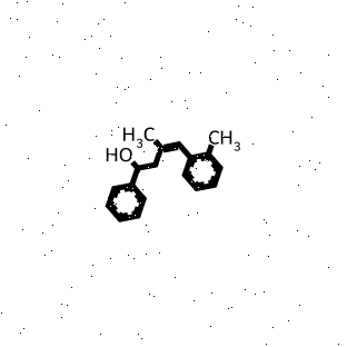 CC(=Cc1ccccc1C)CC(O)c1ccccc1